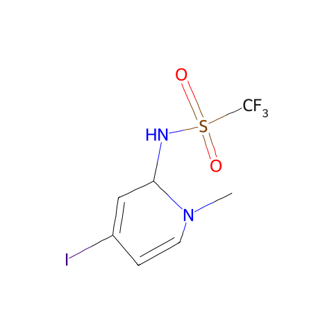 CN1C=CC(I)=CC1NS(=O)(=O)C(F)(F)F